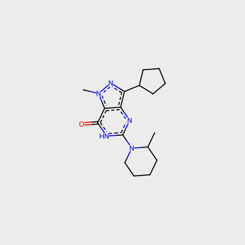 CC1CCCCN1c1nc2c(C3CCCC3)nn(C)c2c(=O)[nH]1